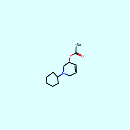 CC(C)(C)C(=O)O[C@H]1C=CCN(C2CCCCC2)C1